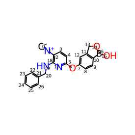 [C-]#[N+]c1ccc(Oc2ccc3c(c2)COB3O)nc1NCc1ccccc1